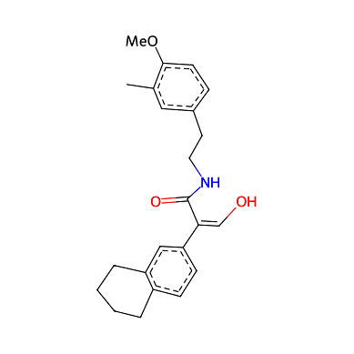 COc1ccc(CCNC(=O)C(=CO)c2ccc3c(c2)CCCC3)cc1C